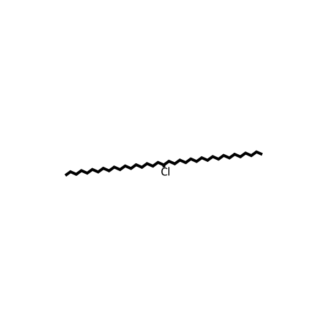 CCCCCCCCCCCCCCCCCCC(Cl)CCCCCCCCCCCCCCCCCC